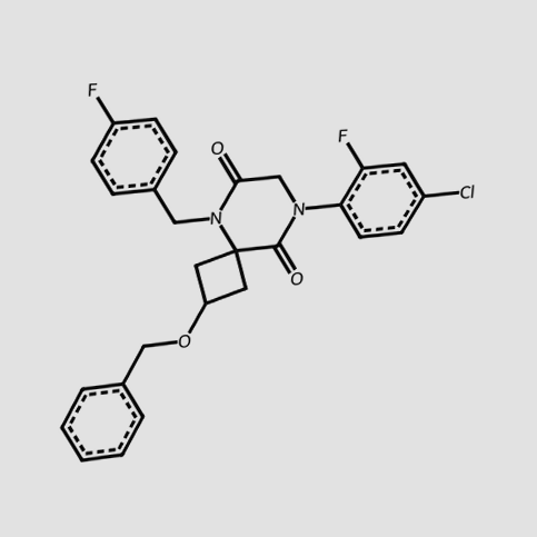 O=C1CN(c2ccc(Cl)cc2F)C(=O)C2(CC(OCc3ccccc3)C2)N1Cc1ccc(F)cc1